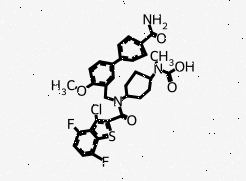 COc1ccc(-c2ccc(C(N)=O)cc2)cc1CN(C(=O)c1sc2c(F)ccc(F)c2c1Cl)C1CCC(N(C)C(=O)O)CC1